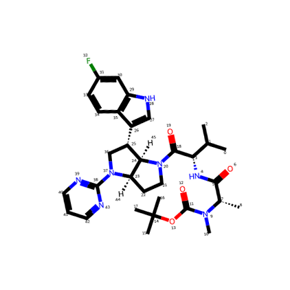 CC(C)[C@H](NC(=O)[C@H](C)N(C)C(=O)OC(C)(C)C)C(=O)N1CC[C@@H]2[C@H]1[C@@H](c1c[nH]c3cc(F)ccc13)CN2c1ncccn1